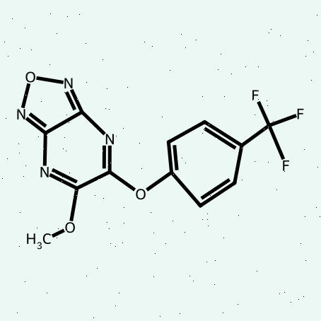 COc1nc2nonc2nc1Oc1ccc(C(F)(F)F)cc1